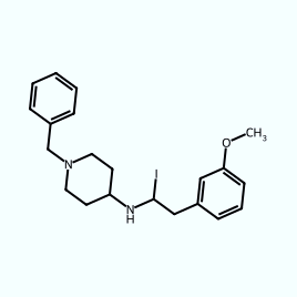 COc1cccc(CC(I)NC2CCN(Cc3ccccc3)CC2)c1